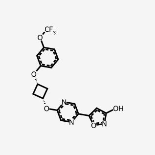 Oc1cc(-c2cnc(O[C@H]3C[C@@H](Oc4cccc(OC(F)(F)F)c4)C3)cn2)on1